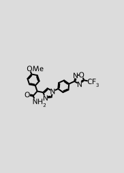 COc1ccc(C(C(N)=O)c2cn(-c3ccc(-c4noc(C(F)(F)F)n4)cc3)cn2)cc1